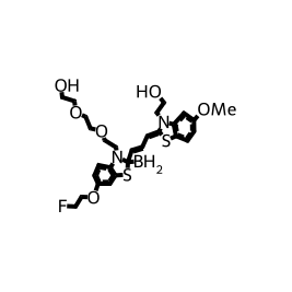 BC1(/C=C/C=C2\Sc3ccc(OC)cc3N2CCO)Sc2cc(OCCF)ccc2N1CCOCCOCCO